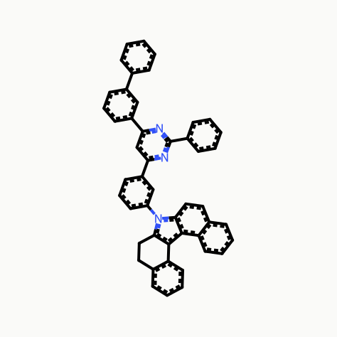 c1ccc(-c2cccc(-c3cc(-c4cccc(-n5c6c(c7c8ccccc8ccc75)-c5ccccc5CC6)c4)nc(-c4ccccc4)n3)c2)cc1